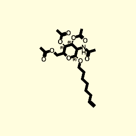 C=CCCCCCCO[C@@H]1OC(COC(C)=O)[C@H](OC(C)=O)[C@H](OC(C)=O)C1NC(C)=O